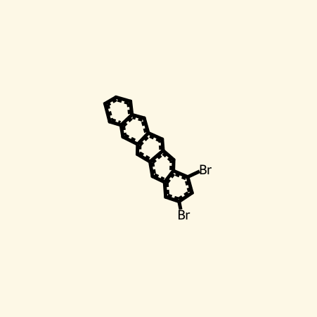 Brc1cc(Br)c2cc3cc4cc5ccccc5cc4cc3cc2c1